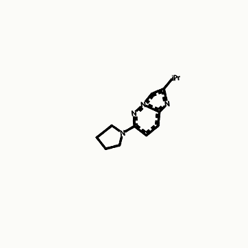 CC(C)c1cn2nc(N3CCCC3)ccc2n1